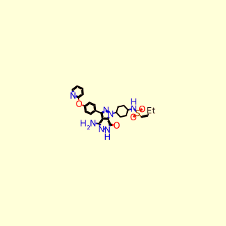 CC/C=C\S(=O)(=O)NC1CCC(n2nc(-c3ccc(Oc4ccccn4)cc3)c3c(N)n[nH]c(=O)c32)CC1